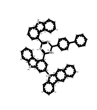 c1ccc(-c2ccc(C3N=C(c4cccc5sc6ccccc6c45)N=C(c4cc(-n5c6ccccc6c6cc7ccccc7cc65)cc5oc6ccccc6c45)N3)cc2)cc1